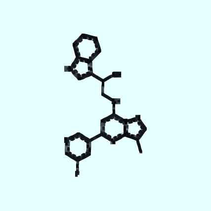 Cc1cnn2c(NCC(O)c3c[nH]c4ccccc34)cc(-c3cncc(F)c3)nc12